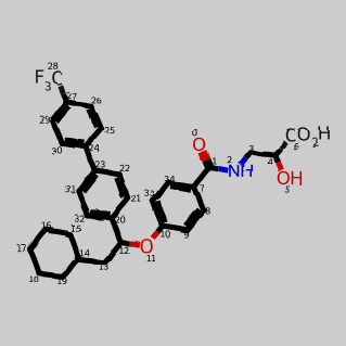 O=C(NCC(O)C(=O)O)c1ccc(OC(CC2CCCCC2)c2ccc(-c3ccc(C(F)(F)F)cc3)cc2)cc1